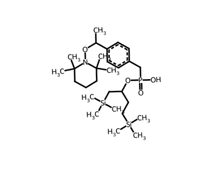 CC(ON1C(C)(C)CCCC1(C)C)c1ccc(CP(=O)(O)OC(CC[Si](C)(C)C)C[Si](C)(C)C)cc1